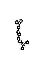 c1ccc(-c2nc(-c3ccccc3)nc(-c3ccc4ccc(-c5ccc6nc(-c7ccc(-c8cc9cccnc9c9ncccc89)cc7)ccc6c5)cc4n3)n2)cc1